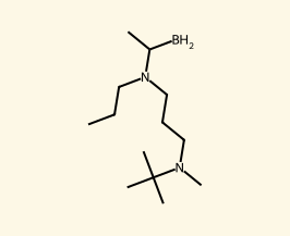 BC(C)N(CCC)CCCN(C)C(C)(C)C